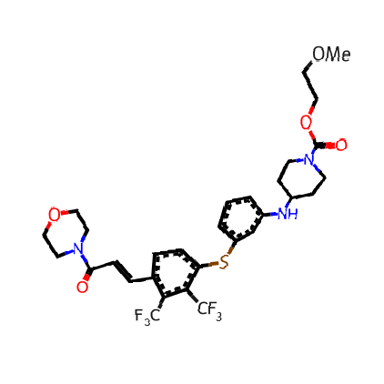 COCCOC(=O)N1CCC(Nc2cccc(Sc3ccc(C=CC(=O)N4CCOCC4)c(C(F)(F)F)c3C(F)(F)F)c2)CC1